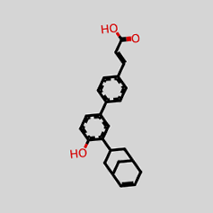 O=C(O)/C=C/c1ccc(-c2ccc(O)c(C3CC4C=CCC(C4)C3)c2)cc1